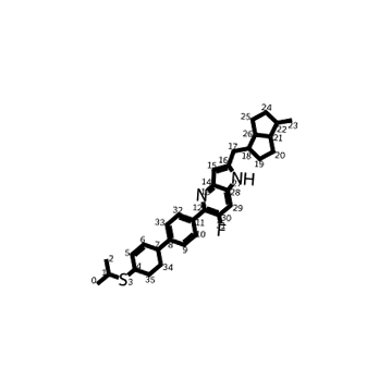 CC(C)SC1C=CC(c2ccc(-c3nc4cc(CC5CCC6C(C)CCC56)[nH]c4cc3F)cc2)CC1